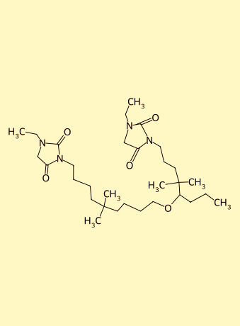 CCCC(OCCCCC(C)(C)CCCCN1C(=O)CN(CC)C1=O)C(C)(C)CCCN1C(=O)CN(CC)C1=O